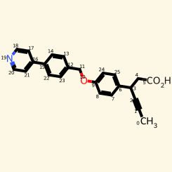 CC#CC(CC(=O)O)c1ccc(OCc2ccc(-c3ccncc3)cc2)cc1